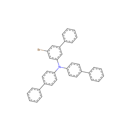 Brc1cc(-c2ccccc2)cc(N(c2ccc(-c3ccccc3)cc2)c2ccc(-c3ccccc3)cc2)c1